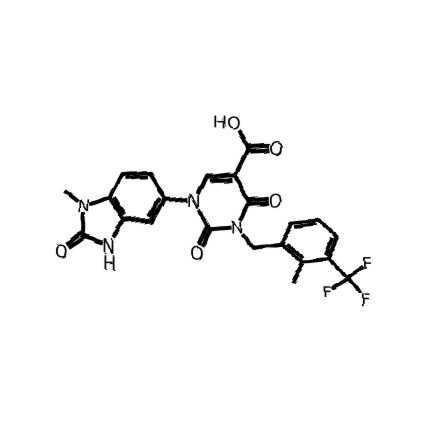 Cc1c(Cn2c(=O)c(C(=O)O)cn(-c3ccc4c(c3)[nH]c(=O)n4C)c2=O)cccc1C(F)(F)F